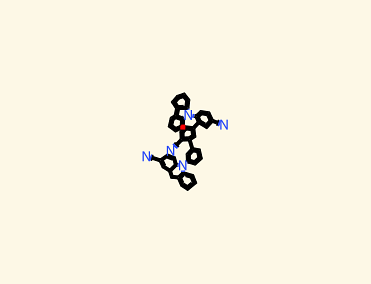 N#CC1=CC2Cc3ccccc3N(c3cccc(-c4cc(-c5cc(C#N)ccc5-n5c6ccccc6c6ccccc65)ccc4C#N)c3)C2C=C1